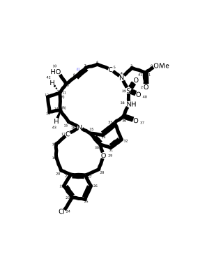 COC(=O)CN1CC/C=C/C(O)[C@@H]2CC[C@H]2CN2CCCCc3cc(Cl)ccc3COc3ccc(cc32)C(=O)NS1(=O)=O